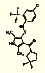 Cc1[nH]c(C)c(C(=O)N2CCC(F)(F)C2)c1SNc1ccc(Cl)cc1C(F)(F)F